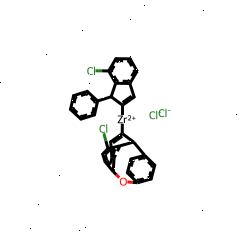 Clc1cccc2c1C(c1ccccc1)[C]([Zr+2][C]1=Cc3c4ccc(Cl)c3C1c1ccc(cc1)O4)=C2.[Cl-].[Cl-]